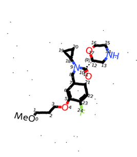 COCCCOC1=CC(CN(C(=O)[C@H]2CNCCO2)C2CC2)CC=C1F